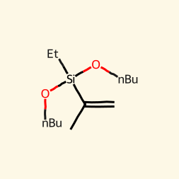 C=C(C)[Si](CC)(OCCCC)OCCCC